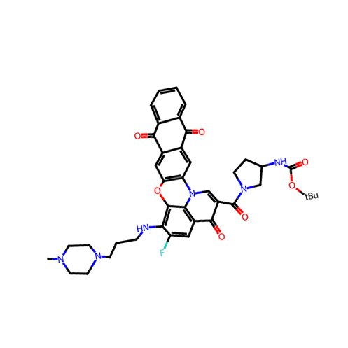 CN1CCN(CCCNc2c(F)cc3c(=O)c(C(=O)N4CCC(NC(=O)OC(C)(C)C)C4)cn4c5cc6c(=O)c7ccccc7c(=O)c6cc5oc2c34)CC1